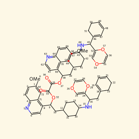 COc1ccc2nccc(C(CC3CCC(NC(CC4=CC=CCC4)C4=COC=CO4)CC3)OC(=O)C(=O)OC(CC3CCC(NC(C4=CC=CCC4)C4=COC=CO4)CC3)c3ccnc4ccc(OC)cc34)c2c1